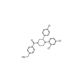 O=C(c1ccc(CS)cc1)N1CCN(c2ccc(Cl)cc2Cl)C(c2ccc(Cl)cc2)C1